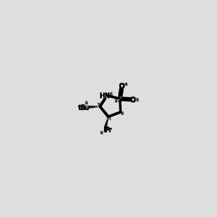 CC(C)[C@H]1CS(=O)(=O)N[C@H]1C(C)(C)C